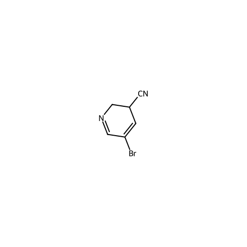 N#CC1C=C(Br)C=NC1